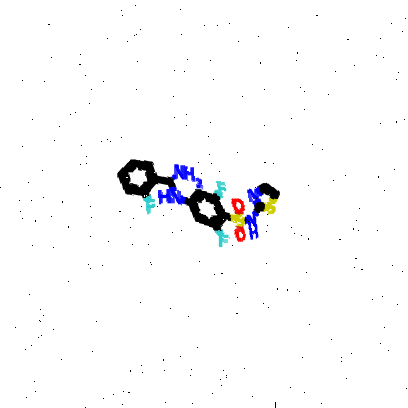 N[C@H](Nc1cc(F)c(S(=O)(=O)Nc2nccs2)c(F)c1)c1ccccc1F